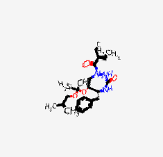 CCC(CC)C(=O)N1C[C@@H](OC(C)([SiH3])OCC(C)C)[C@@H](Cc2ccccc2)NC(=O)N1